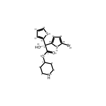 O=C(OC1CCNCC1)[C@@](O)(c1cccs1)c1ccc(Br)s1